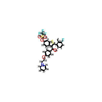 Cc1c(F)cccc1-c1sc2cc(OS(=O)(=O)C(F)(F)F)ccc2c1C(=O)c1ccc(OCCN2C=CC=CC2)cc1